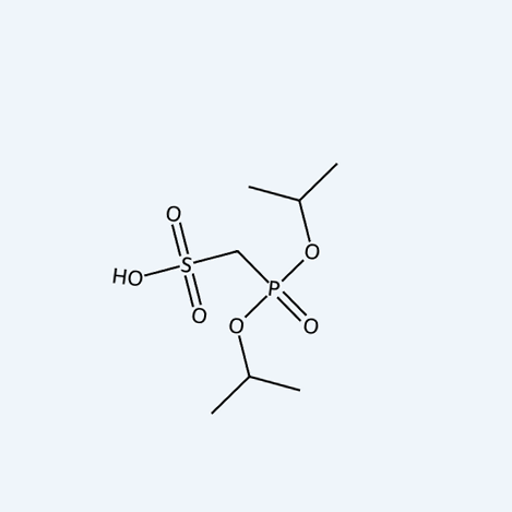 CC(C)OP(=O)(CS(=O)(=O)O)OC(C)C